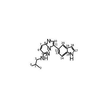 CC(C)CNc1ccc2ncc(-c3ccc4[nH]ccc4c3)n2n1